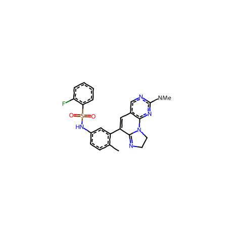 CNc1ncc2c(n1)N1CCN=C1C(c1cc(NS(=O)(=O)c3ccccc3F)ccc1C)=C2